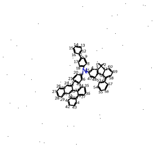 CC1(C)c2cc(N(c3ccc(-c4ccccc4)cc3)c3ccc(-c4cc5ccccc5cc4-c4ccccc4-c4ccccc4)cc3)ccc2C2C(c3ccccc3)=CC=CC21